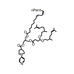 CCCCC/C=C\C/C=C\CCCCCCCC(=O)OCC(COC(=O)CCC(OCCC(C)CCC=C(C)C)OCCC(C)CCC=C(C)C)COC(=O)C1CCN(c2ccncc2)CC1